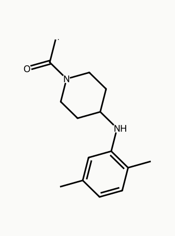 [CH2]C(=O)N1CCC(Nc2cc(C)ccc2C)CC1